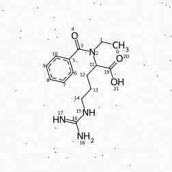 CCN(C(=O)c1ccccc1)C(CCCNC(=N)N)C(=O)O